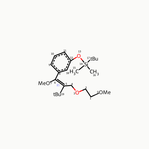 COCCOC/C(=C(/OC)c1cccc(O[Si](C)(C)C(C)(C)C)c1)C(C)(C)C